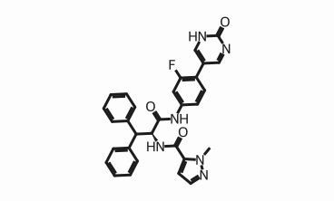 Cn1nccc1C(=O)N[C@H](C(=O)Nc1ccc(-c2cnc(=O)[nH]c2)c(F)c1)C(c1ccccc1)c1ccccc1